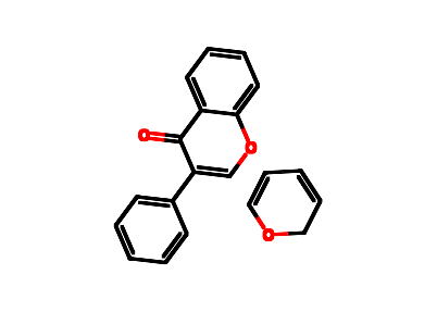 C1=CCOC=C1.O=c1c(-c2ccccc2)coc2ccccc12